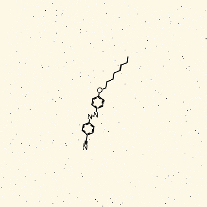 CCCCCCCCOc1ccc(/N=N/c2ccc(C#N)cc2)cc1